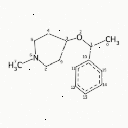 CC(OC1CCN(C)CC1)c1ccccc1